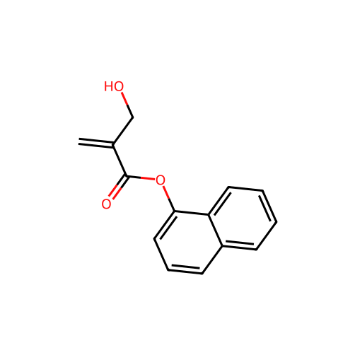 C=C(CO)C(=O)Oc1cccc2ccccc12